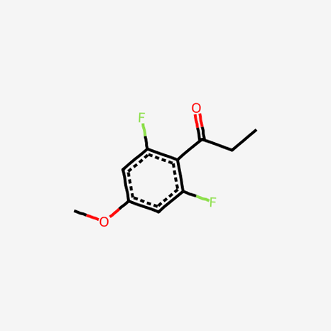 CCC(=O)c1c(F)cc(OC)cc1F